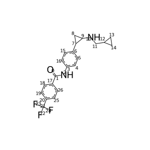 O=C(Nc1ccc(C2CC2NCC2CC2)cc1)c1ccc(C(F)(F)F)cc1